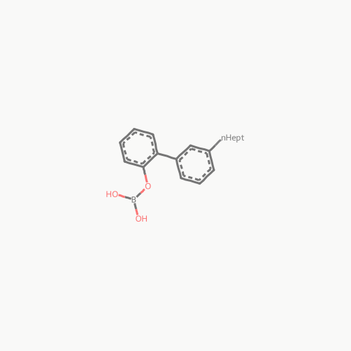 CCCCCCCc1cccc(-c2ccccc2OB(O)O)c1